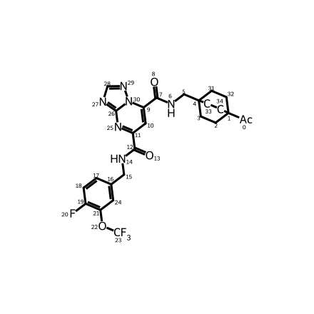 CC(=O)C12CCC(CNC(=O)c3cc(C(=O)NCc4ccc(F)c(OC(F)(F)F)c4)nc4ncnn34)(CC1)CC2